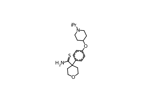 CC(C)N1CCC(Oc2ccc(C3(C(N)=S)CCOCC3)cc2)CC1